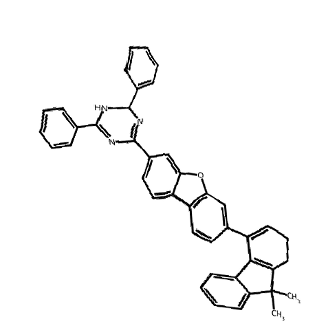 CC1(C)C2=C(C(c3ccc4c(c3)oc3cc(C5=NC(c6ccccc6)NC(c6ccccc6)=N5)ccc34)=CCC2)c2ccccc21